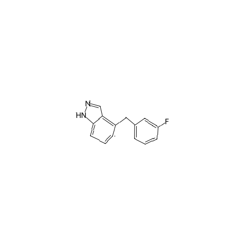 Fc1cccc(Cc2[c]ccc3[nH]ncc23)c1